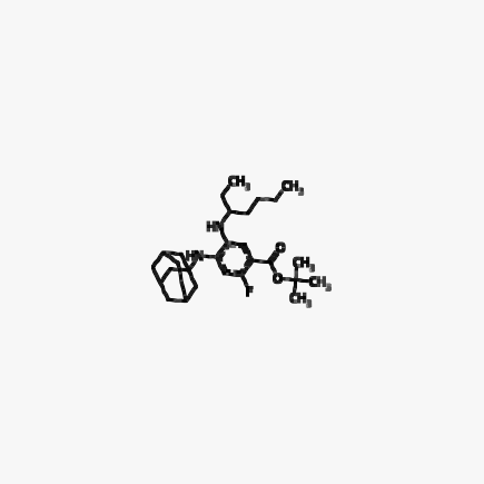 CCCCC(CC)Nc1cc(C(=O)OC(C)(C)C)c(F)cc1NC12CC3CC(CC(C3)C1)C2